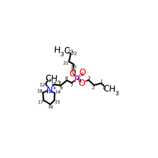 CCCCOP(=O)(CCCC[N+]1(CC)CCCCC1)OCCCC